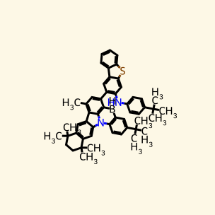 Cc1cc(-c2cc3c(cc2Nc2ccc(C(C)(C)C)cc2)sc2ccccc23)c2c3c1c1cc4c(cc1n3-c1ccc(C(C)(C)C)cc1B2)C(C)(C)CCC4(C)C